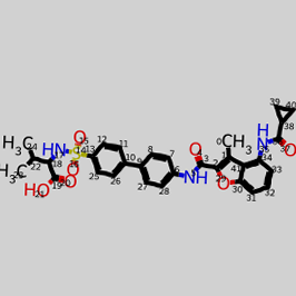 Cc1c(C(=O)Nc2ccc(-c3ccc(S(=O)(=O)NC(C(=O)O)C(C)C)cc3)cc2)oc2cccc(NC(=O)C3CC3)c12